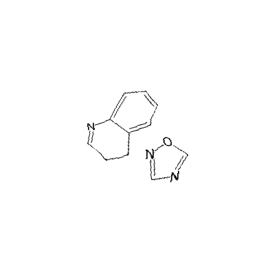 C1=Nc2ccccc2CC1.c1ncon1